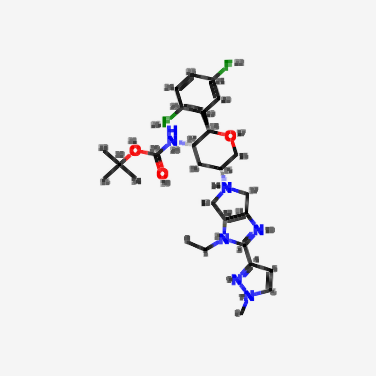 CCn1c(-c2ccn(C)n2)nc2c1CN([C@H]1CO[C@H](c3cc(F)ccc3F)[C@@H](NC(=O)OC(C)(C)C)C1)C2